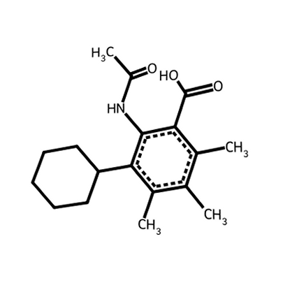 CC(=O)Nc1c(C(=O)O)c(C)c(C)c(C)c1C1CCCCC1